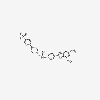 Nc1cc(C=O)c2oc(-c3ccc(NC(=O)CN4CCN(c5ccc(C(F)(F)F)cc5)CC4)cc3)nc2c1